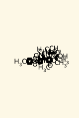 COc1cc(-c2cn(C)c(=O)c3c2ccn3S(=O)(=O)c2ccc(C)cc2)c2c(c1)N(C(C(=O)O)C(C)(C)C)C(=O)C(C(C)C)O2